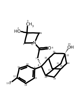 CC1(O)CN(C(=O)C[C@]2(c3ccc(F)cc3)C3CC4CC2C[C@](O)(C4)C3)C1